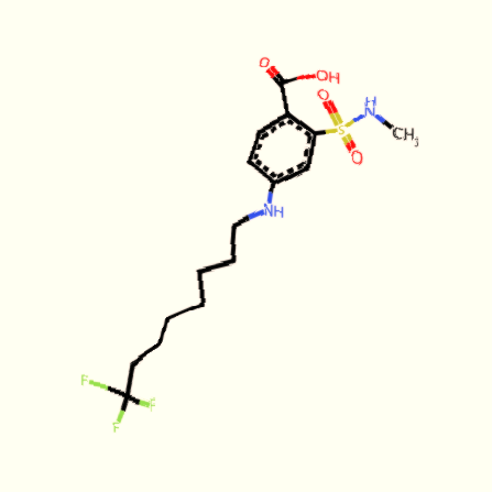 CNS(=O)(=O)c1cc(NCCCCCCCC(F)(F)F)ccc1C(=O)O